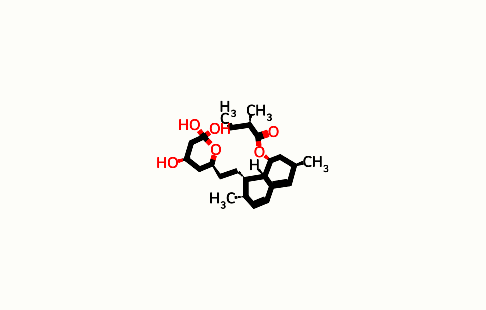 CC[C@H](C)C(=O)O[C@H]1C[C@@H](C)C=C2C=C[C@H](C)[C@H](CC[C@H]3C[C@@H](O)CC(O)(O)O3)[C@H]21